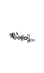 CC#C[C@H]1CN(S(=O)(=O)c2ccc(NC(=O)O)cc2)CCN1c1ncc(S(=O)(=O)NC)s1